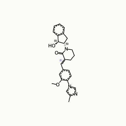 COc1cc(/C=C2\CCCN([C@H]3Cc4ccccc4[C@@H]3O)C2=O)ccc1-n1cnc(C)c1